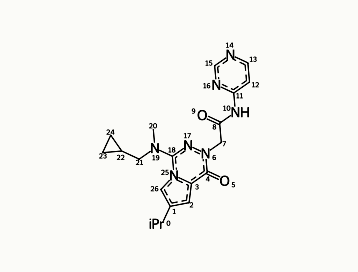 CC(C)c1cc2c(=O)n(CC(=O)Nc3ccncn3)nc(N(C)CC3CC3)n2c1